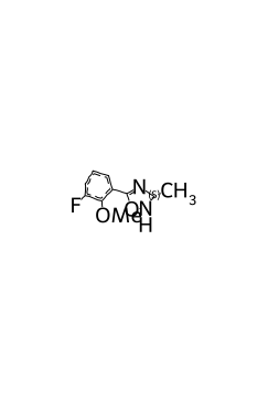 COc1c(F)cccc1C1=N[C@H](C)NO1